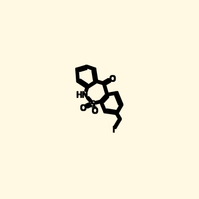 O=C1c2ccccc2NS(=O)(=O)c2cc(CI)ccc21